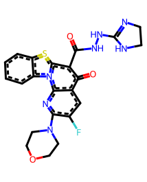 O=C(NNC1=NCCN1)c1c(=O)c2cc(F)c(N3CCOCC3)nc2n2c1sc1ccccc12